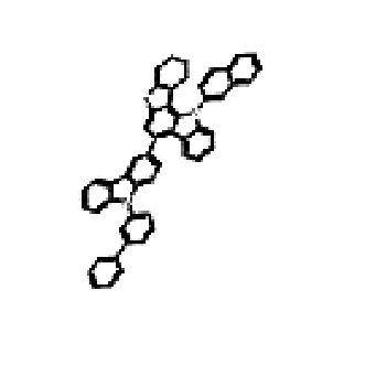 c1ccc(-c2cccc(-n3c4ccccc4c4cc(-c5cc6c(c7c5c5ccccc5n7-c5ccc7ccccc7c5)C5CCCCC5S6)ccc43)c2)cc1